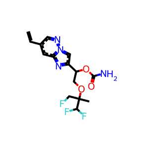 C=Cc1cnn2cc(C(COC(C)(CF)C(F)F)OC(N)=O)nc2c1